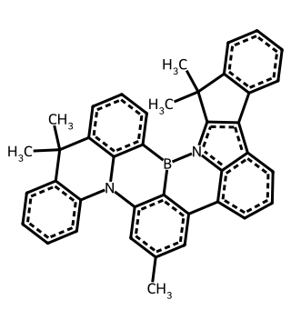 Cc1cc2c3c(c1)N1c4ccccc4C(C)(C)c4cccc(c41)B3n1c3c(c4cccc-2c41)-c1ccccc1C3(C)C